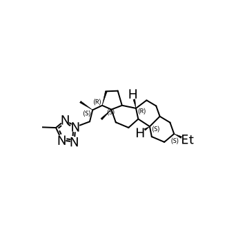 CC[C@H]1CC[C@H]2C(CC[C@@H]3C2CC[C@@]2(C)C3CC[C@@H]2[C@H](C)Cn2nnc(C)n2)C1